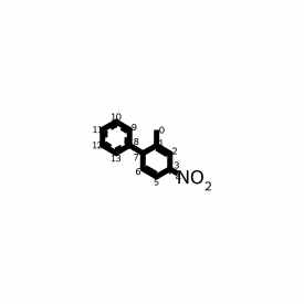 CC1=C[C]([N+](=O)[O-])C=CC1c1ccccc1